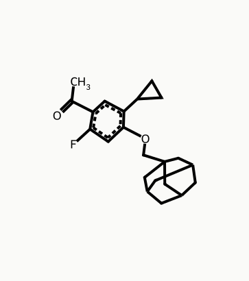 CC(=O)c1cc(C2CC2)c(OCC23CC4CC(CC(C4)C2)C3)cc1F